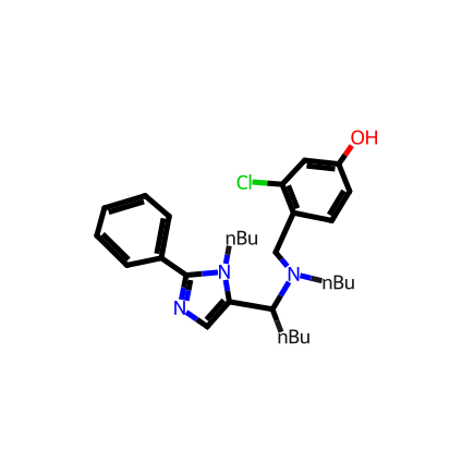 CCCCC(c1cnc(-c2ccccc2)n1CCCC)N(CCCC)Cc1ccc(O)cc1Cl